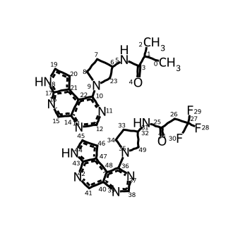 CC(C)C(=O)NC1CCN(c2ncnc3cnc4[nH]ccc4c23)C1.O=C(CC(F)(F)F)NC1CCN(c2ncnc3cnc4[nH]ccc4c23)C1